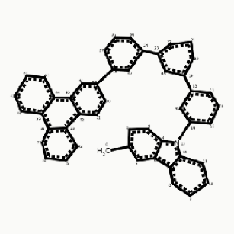 Cc1ccc2c(c1)c1ccccc1n2-c1cccc(-c2cccc(-c3cccc(-c4ccc5c6ccccc6c6ccccc6c5c4)c3)c2)c1